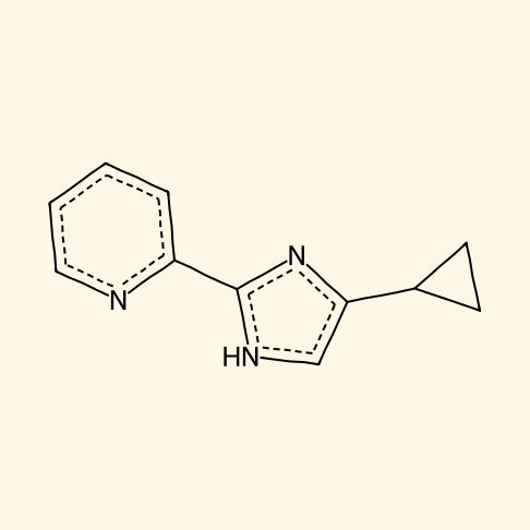 c1ccc(-c2nc(C3CC3)c[nH]2)nc1